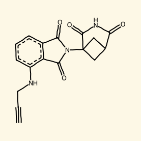 C#CCNc1cccc2c1C(=O)N(C13CC(C1)C(=O)NC3=O)C2=O